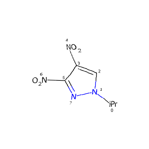 CC(C)n1cc([N+](=O)[O-])c([N+](=O)[O-])n1